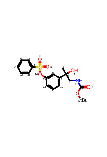 CC(C)(C)OC(=O)NCC(C)(O)c1cccc(OS(=O)(=O)c2ccccc2)c1